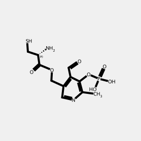 Cc1ncc(COC(=O)[C@@H](N)CS)c(C=O)c1OP(=O)(O)O